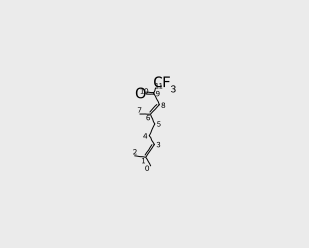 CC(C)=CCC/C(C)=C/C(=O)C(F)(F)F